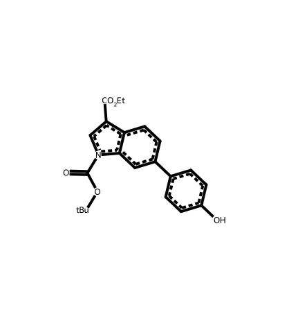 CCOC(=O)c1cn(C(=O)OC(C)(C)C)c2cc(-c3ccc(O)cc3)ccc12